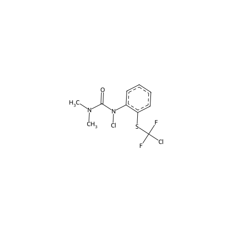 CN(C)C(=O)N(Cl)c1ccccc1SC(F)(F)Cl